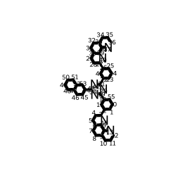 c1cc(-c2ccc3ccc4cccnc4c3n2)cc(-c2nc(-c3cccc(-c4ccc5ccc6cccnc6c5n4)c3)nc(-c3ccc4ccccc4c3)n2)c1